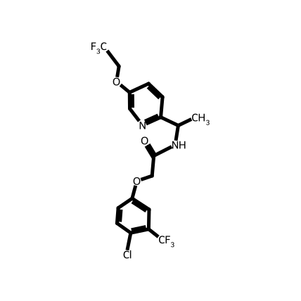 CC(NC(=O)COc1ccc(Cl)c(C(F)(F)F)c1)c1ccc(OCC(F)(F)F)cn1